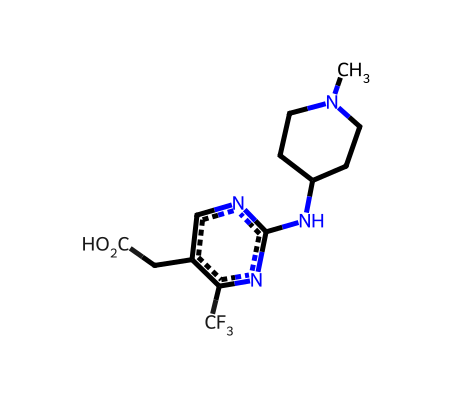 CN1CCC(Nc2ncc(CC(=O)O)c(C(F)(F)F)n2)CC1